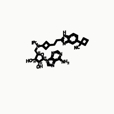 CC(C)N(C[C@H]1O[C@@H](n2cnc3c(N)ncnc32)[C@H](O)[C@H]1O)C1CC(CCc2nc3cc(C4(C#N)CCC4)ccc3[nH]2)C1